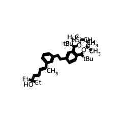 CCC(O)(/C=C/C=C(\C)c1cccc(CCc2ccc(C(O[SiH](C)C)C(C)(C)C)c(C(O[SiH](C)C)C(C)(C)C)c2)c1)CC